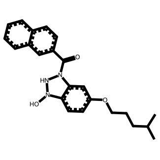 CC(C)CCCOc1ccc2c(c1)N(C(=O)c1ccc3ccccc3c1)NN2O